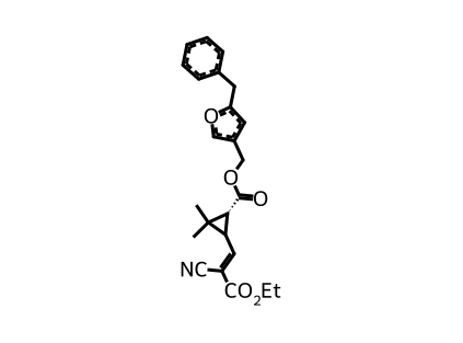 CCOC(=O)C(C#N)=CC1[C@@H](C(=O)OCc2coc(Cc3ccccc3)c2)C1(C)C